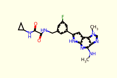 CNc1nc2[nH]c(-c3cc(F)cc(CNC(=O)C(=O)NC4CC4)c3)cc2c2c1ncn2C